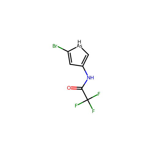 O=C(NC1=C[AsH]C(Br)=C1)C(F)(F)F